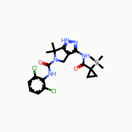 CC1(C)c2[nH]nc(NC(=O)C3([Si](C)(C)C)CC3)c2CN1C(=O)Nc1c(Cl)cccc1Cl